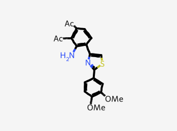 COc1ccc(-c2nc(-c3ccc(C(C)=O)c(C(C)=O)c3N)cs2)cc1OC